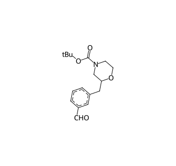 CC(C)(C)OC(=O)N1CCOC(Cc2cccc(C=O)c2)C1